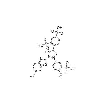 COc1ccc2nc(N3NC(c4ccc(S(=O)(=O)O)cc4S(=O)(=O)O)=NN3c3ccc(OC)c(S(=O)(=O)O)c3)sc2c1